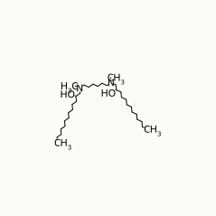 CCCCCCCCCCCC(O)CN(C)CCCCCCN(C)CC(O)CCCCCCCCCCC